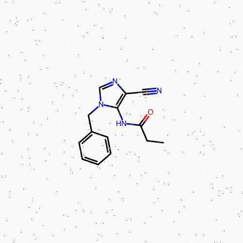 CCC(=O)Nc1c(C#N)ncn1Cc1ccccc1